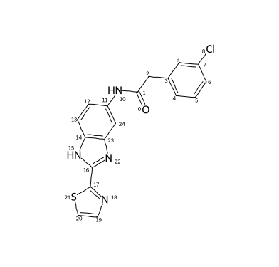 O=C(Cc1cccc(Cl)c1)Nc1ccc2[nH]c(-c3nccs3)nc2c1